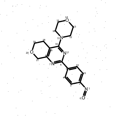 O=Nc1ccc(-c2nc3c(c(N4CCOCC4)n2)CCOC3)cc1